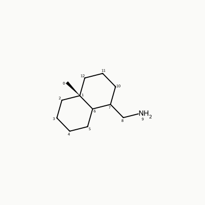 C[C@]12CCCCC1C(CN)CCC2